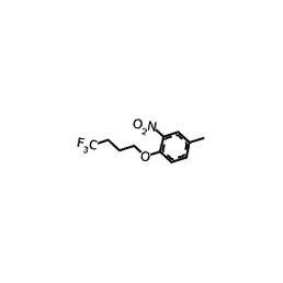 Cc1ccc(OCCCC(F)(F)F)c([N+](=O)[O-])c1